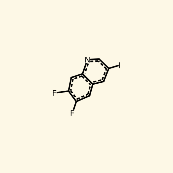 Fc1cc2cc(I)cnc2cc1F